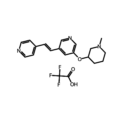 CN1CCCC(Oc2cncc(C=Cc3ccncc3)c2)C1.O=C(O)C(F)(F)F